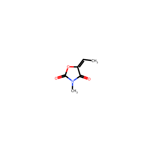 C/C=C1/OC(=O)N(C)C1=O